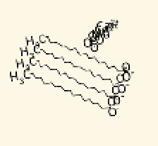 CCCCCCCCCCCCCCCCCC(=O)[O-].CCCCCCCCCCCCCCCCCC(=O)[O-].CCCCCCCCCCCCCCCCCC(=O)[O-].CCCCCCCCCCCCCCCCCC(=O)[O-].O=P([O-])([O-])O.[Ca+2].[Ca+2].[Mg+2]